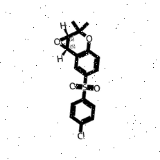 CC1(C)Oc2ccc(S(=O)(=O)c3ccc(Cl)cc3)cc2[C@@H]2O[C@@H]21